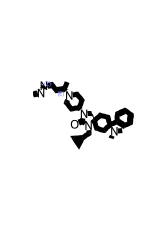 C=N/N=C\C=C(/C)N1CCC(N2C[C@]3(CC[C@](c4ccccc4)(N(C)C)CC3)N(CC3CC3)C2=O)CC1